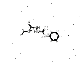 CCO[PH](=O)NNC(=O)Oc1ccccc1